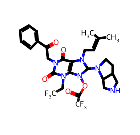 CC(C)=CCN1c2c(n(CC(F)(F)F)c(=O)n(CC(=O)c3ccccc3)c2=O)N(OC(=O)C(F)(F)F)C1N1CCC2CNCC21